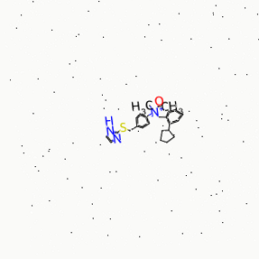 CC(=O)[N+](C)(Cc1ccccc1C1CCCC1)c1ccc(CSc2ncc[nH]2)cc1